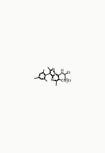 CCOC(=O)c1c(C)nc2c(-c3c(C)cc(C)cc3C)c(C)nn2c1NC(CC)CC